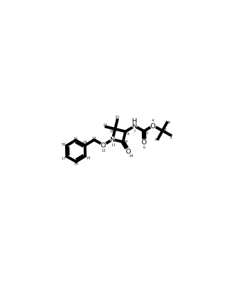 CC(C)(C)OC(=O)NC1C(=O)N(OCc2ccccc2)C1(C)C